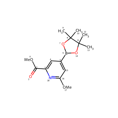 COC(=O)c1cc(B2OC(C)(C)C(C)(C)O2)cc(OC)n1